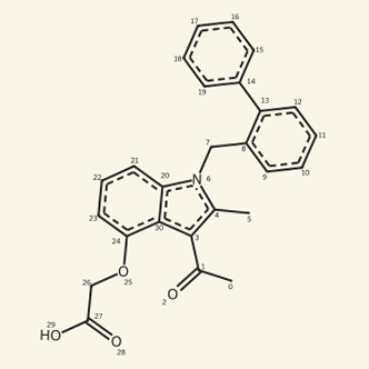 CC(=O)c1c(C)n(Cc2ccccc2-c2ccccc2)c2cccc(OCC(=O)O)c12